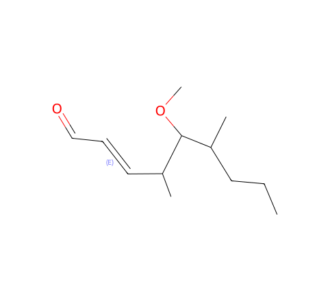 CCCC(C)C(OC)C(C)/C=C/C=O